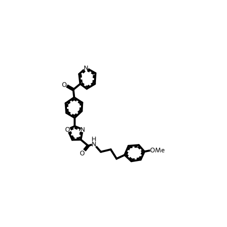 COc1ccc(CCCNC(=O)c2coc(-c3ccc(C(=O)c4cccnc4)cc3)n2)cc1